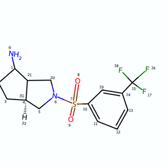 NC1CC[C@@H]2CN(S(=O)(=O)c3cccc(C(F)(F)F)c3)CC12